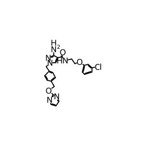 Nc1nn(Cc2ccc(COc3ncccn3)cc2)cc1C(=O)NCCOc1cccc(Cl)c1